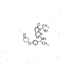 CC(C)[C@H](C)n1c(=O)ccc2cnc(N[C@@H](C)c3ccc(OC4CCNCC4)cc3)nc21